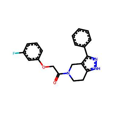 O=C(COc1cccc(F)c1)N1CCc2[nH]nc(-c3ccccc3)c2C1